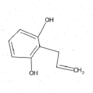 C=CCc1c(O)cccc1O